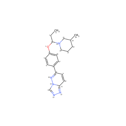 CCC(Oc1ccc(-c2ccc3nncn3n2)cc1)N1CCCC(C)C1